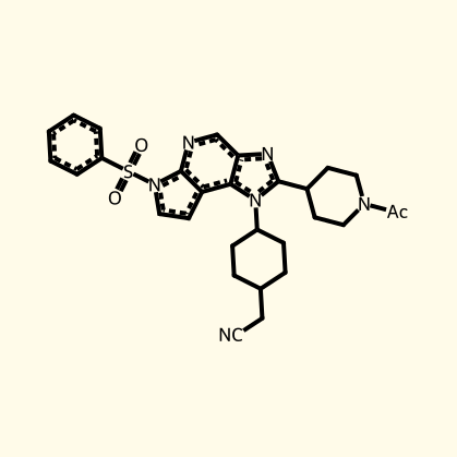 CC(=O)N1CCC(c2nc3cnc4c(ccn4S(=O)(=O)c4ccccc4)c3n2C2CCC(CC#N)CC2)CC1